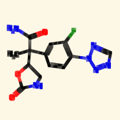 CC(C(N)=O)(c1ccc(-n2ncnn2)c(F)c1)C1CNC(=O)O1